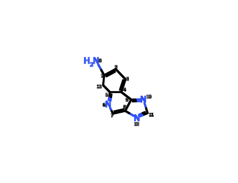 NC1=CC=c2c(ncc3c2=NC=N3)C1